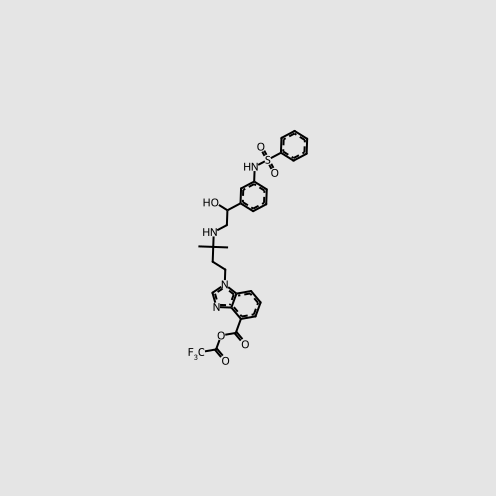 CC(C)(CCn1cnc2c(C(=O)OC(=O)C(F)(F)F)cccc21)NCC(O)c1cccc(NS(=O)(=O)c2ccccc2)c1